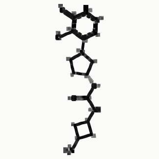 NC1CC(NC(=O)O[C@@H]2CCN(c3cn[nH]c(=O)c3Cl)C2)C1